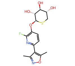 Cc1noc(C)c1-c1ccc(O[C@@H]2SC[C@@H](O)[C@H](O)[C@H]2O)c(F)n1